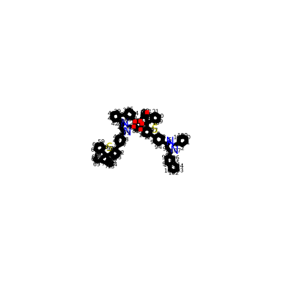 c1ccc(-c2nc(-c3ccc(-c4cccc5c4Sc4ccccc4C54c5ccccc5-c5c(-c6cccc(-c7ccccc7-c7cc(-c8ccc(-c9cccc%10c9Sc9ccccc9C%109c%10ccccc%10-c%10ccccc%109)cc8)nc(-c8ccccc8)n7)c6)cccc54)cc3)cc(-c3ccc4ccccc4c3)n2)cc1